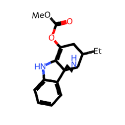 CCC1CC(OC(=O)OC)=C2Nc3ccccc3C23CCNC13